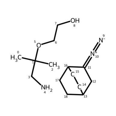 CC(C)(CN)OCCO.[N-]=[N+]=C1CC2CCC1CC2